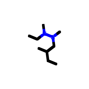 CCC(C)CN(C)N(C)CC